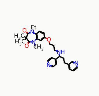 CCN1C(=O)C(C)(C)C(=O)N(C)c2cc(OCCCNC(CCc3cccnc3)c3ccncc3)ccc21